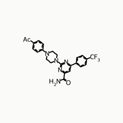 CC(=O)c1ccc(N2CCN(c3nc(C(N)=O)cc(-c4ccc(C(F)(F)F)cc4)n3)CC2)cc1